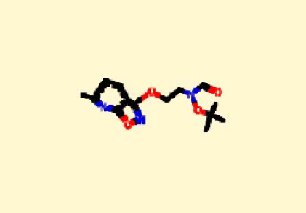 Cc1ccc2c(OCCN(C=O)OC(C)(C)C)noc2n1